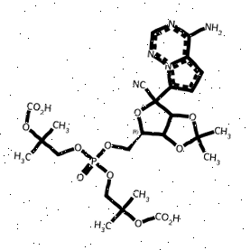 CC(C)(COP(=O)(OC[C@H]1OC(C#N)(c2ccc3c(N)ncnn23)C2OC(C)(C)OC21)OCC(C)(C)OC(=O)O)OC(=O)O